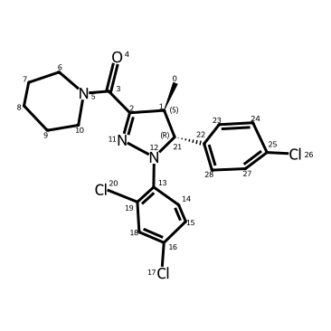 C[C@@H]1C(C(=O)N2CCCCC2)=NN(c2ccc(Cl)cc2Cl)[C@H]1c1ccc(Cl)cc1